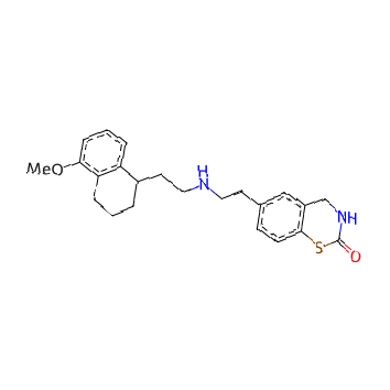 COc1cccc2c1CCCC2CCNCCc1ccc2c(c1)CNC(=O)S2